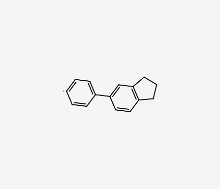 [c]1ccc(-c2ccc3c(c2)CCC3)cc1